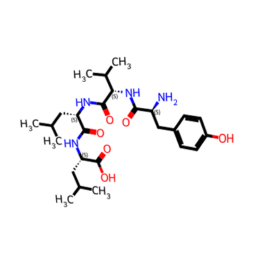 CC(C)C[C@H](NC(=O)[C@H](CC(C)C)NC(=O)[C@@H](NC(=O)[C@@H](N)Cc1ccc(O)cc1)C(C)C)C(=O)O